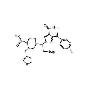 N#CCC(C1CCN(C(=O)O)C(CC2CCOC2)C1)n1cc(C(N)=O)c(Nc2ccc(F)cc2)n1